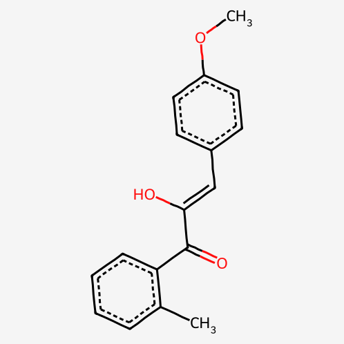 COc1ccc(C=C(O)C(=O)c2ccccc2C)cc1